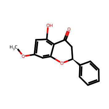 COc1cc(O)c2c(c1)O[C@H](c1ccccc1)CC2=O